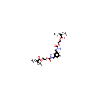 C=C(C)C(=O)OCCOC(=O)NCc1cccc(CNC(=O)OCCOC(=O)C(=C)C)c1